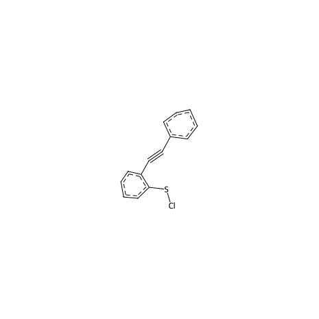 ClSc1ccccc1C#Cc1ccccc1